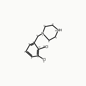 Clc1cccc(CN2CCNCC2)c1Cl